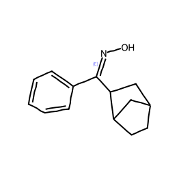 O/N=C(/c1ccccc1)C1CC2CCC1C2